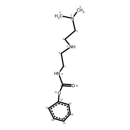 CN(C)CCNCCNC(=O)Oc1ccccc1